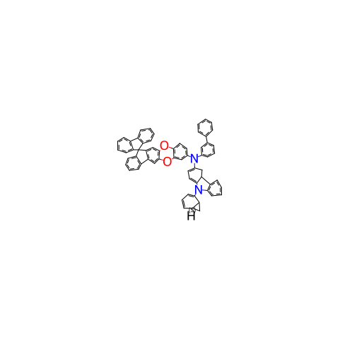 C1=C[C@@H]2CC2C(N2C3=CC=C(N(c4cccc(-c5ccccc5)c4)c4ccc5c(c4)Oc4cc6c(cc4O5)C4(c5ccccc5-c5ccccc54)c4ccccc4-6)CC3c3ccccc32)=C1